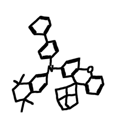 CC1(C)CCC(C)(C)c2cc(N(c3ccc(-c4ccccc4)cc3)c3ccc4c(c3)C3(c5ccccc5O4)C4CC5CC6CC3C64C5)ccc21